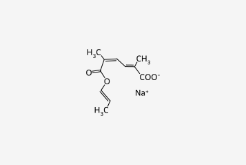 CC=COC(=O)C(C)=CC=C(C)C(=O)[O-].[Na+]